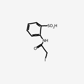 O=C(CI)Nc1ccccc1S(=O)(=O)O